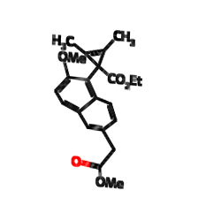 CCOC(=O)C1(c2c(OC)ccc3cc(CC(=O)OC)ccc23)C(C)=C1C